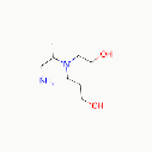 CC(CN)N(CCO)CCCO